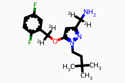 [2H]C([2H])(N)c1cc(OC([2H])([2H])c2cc(F)ccc2F)n(CCC(C)(C)C)n1